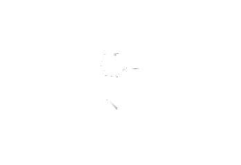 C=Cc1ccccc1.CC=C(F)CC